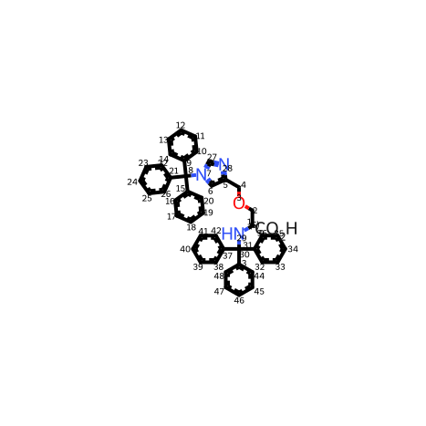 O=C(O)[C@H](COCc1cn(C(c2ccccc2)(c2ccccc2)c2ccccc2)cn1)NC(c1ccccc1)(c1ccccc1)c1ccccc1